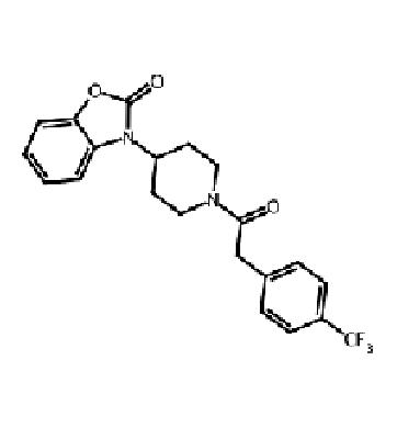 O=C(Cc1ccc(C(F)(F)F)cc1)N1CCC(n2c(=O)oc3ccccc32)CC1